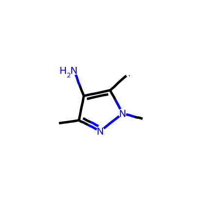 [CH2]c1c(N)c(C)nn1C